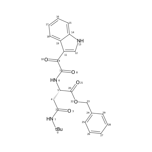 CC(C)(C)NC(=O)C[C@H](NC(=O)C(=O)c1c[nH]c2ccccc12)C(=O)OCc1ccccc1